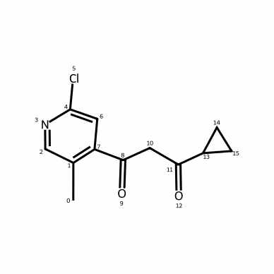 Cc1cnc(Cl)cc1C(=O)CC(=O)C1CC1